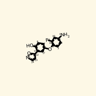 Nc1ccc(Oc2ccc(O)c(-c3ccno3)c2)c(F)c1